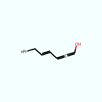 CCCCC=CC=C=CO